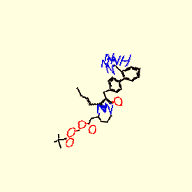 CCCCc1c(Cc2ccc(-c3ccccc3-c3nnn[nH]3)cc2)c(=O)n2n1C(CC(=O)OCOC(=O)C(C)(C)C)CCC2